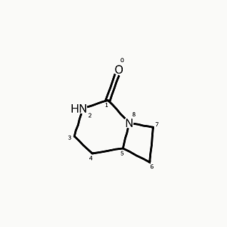 O=C1NCCC2CCN12